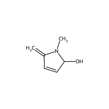 C=C1C=CC(O)N1C